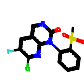 CS(=O)(=O)c1ccccc1-n1c(=O)ncc2cc(F)c(Cl)nc21